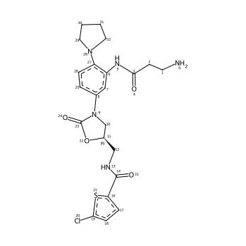 NCCC(=O)Nc1cc(N2C[C@@H](CNC(=O)c3ccc(Cl)s3)OC2=O)ccc1N1CCCC1